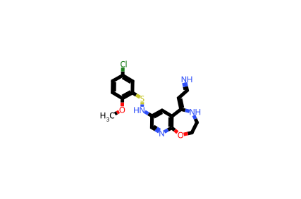 COc1ccc(Cl)cc1SNc1cnc2c(c1)/C(=C/C=N)NCCO2